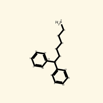 PCCCCCC(c1ccccc1)c1ccccc1